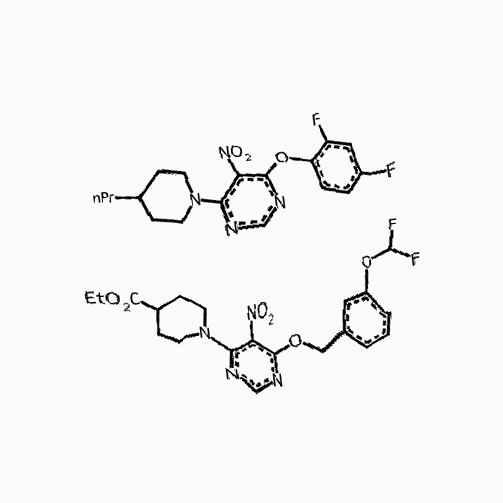 CCCC1CCN(c2ncnc(Oc3ccc(F)cc3F)c2[N+](=O)[O-])CC1.CCOC(=O)C1CCN(c2ncnc(OCc3cccc(OC(F)F)c3)c2[N+](=O)[O-])CC1